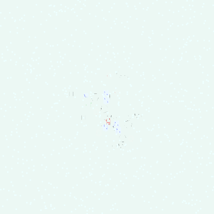 C/C=C/c1ccc(-c2nc(C(=O)C3CCCOCC(C)(C)CC3)c3n2-c2cc(OC(C)CCC4(C)COCCN4C(=O)c4nc(-c5cccc(OC)c5)n5c4CCc4cc(OC)c(OC(C)C)cc4-5)c(OC)cc2CC3)cc1Cl